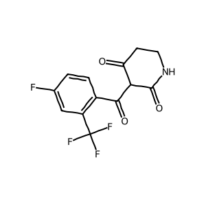 O=C1CCNC(=O)C1C(=O)c1ccc(F)cc1C(F)(F)F